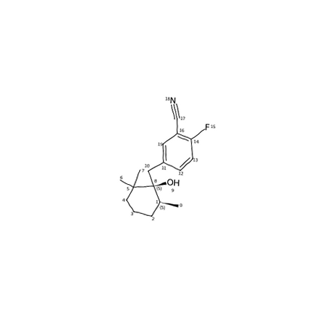 C[C@H]1CCCC(C)(C)[C@]1(O)Cc1ccc(F)c(C#N)c1